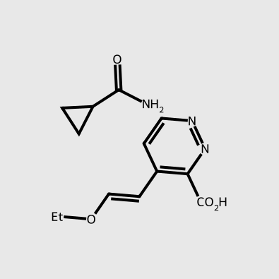 CCOC=Cc1ccnnc1C(=O)O.NC(=O)C1CC1